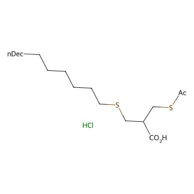 CCCCCCCCCCCCCCCCSCC(CSC(C)=O)C(=O)O.Cl